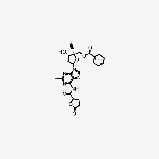 C#C[C@]1(COC(=O)C23CCC(CC2)CC3)O[C@@H](n2cnc3c(NC(=O)[C@H]4CCC(=O)O4)nc(F)nc32)C[C@@H]1O